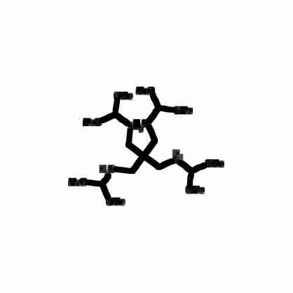 COC(OC)[SiH2]CC(C[SiH2]C(OC)OC)(C[SiH2]C(OC)OC)C[SiH2]C(OC)OC